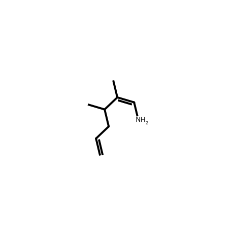 C=CCC(C)/C(C)=C\N